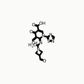 C/C=C1/C(=O)C(C(=O)O)=CN(c2ncns2)/C1=N/C(C)N1CC(C=O)C1